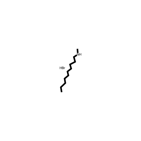 Br.CCCCCCCCCCNC